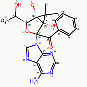 CC1(C)[C@]2(O)[C@@]1(O)[C@@H](C(O)S(=O)(=O)O)O[C@@]2(C(=O)c1ccccc1)n1cnc2c(N)ncnc21